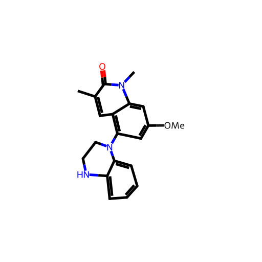 COc1cc(N2CCNc3ccccc32)c2cc(C)c(=O)n(C)c2c1